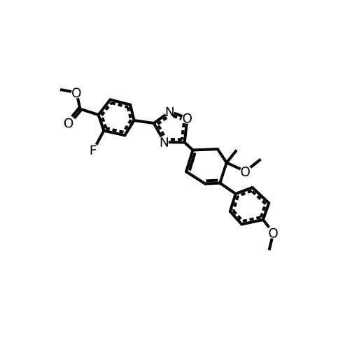 COC(=O)c1ccc(-c2noc(C3=CC=C(c4ccc(OC)cc4)C(C)(OC)C3)n2)cc1F